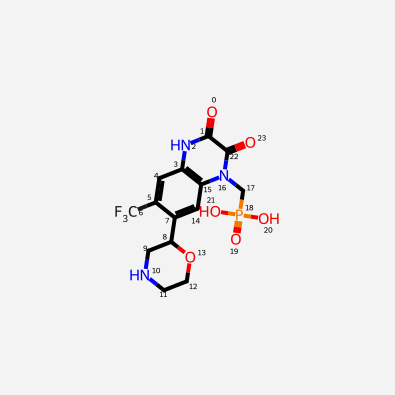 O=c1[nH]c2cc(C(F)(F)F)c(C3CNCCO3)cc2n(CP(=O)(O)O)c1=O